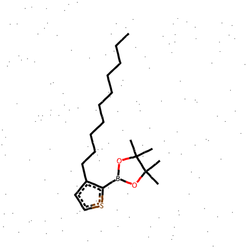 CCCCCCCCCCc1ccsc1B1OC(C)(C)C(C)(C)O1